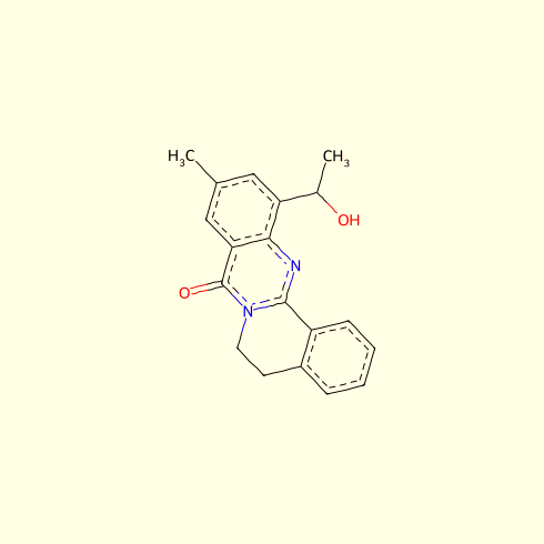 Cc1cc(C(C)O)c2nc3n(c(=O)c2c1)CCc1ccccc1-3